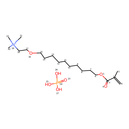 C=C(C)C(=O)OCCCCCCCCCCOCC[N+](C)(C)C.O=P(O)(O)O